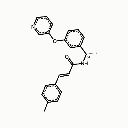 Cc1ccc(C=CC(=O)N[C@@H](C)c2cccc(Oc3cccnc3)c2)cc1